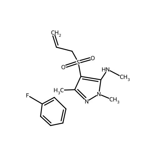 C=CCS(=O)(=O)c1c(C)nn(C)c1NC.Fc1ccccc1